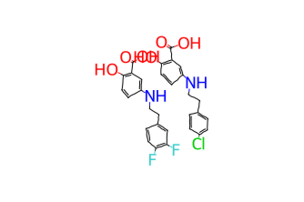 O=C(O)c1cc(NCCc2ccc(Cl)cc2)ccc1O.O=C(O)c1cc(NCCc2ccc(F)c(F)c2)ccc1O